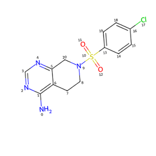 Nc1ncnc2c1CCN(S(=O)(=O)c1ccc(Cl)cc1)C2